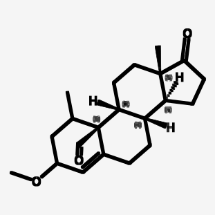 COC1C=C2CC[C@@H]3[C@@H](CC[C@]4(C)C(=O)CC[C@@H]34)[C@@]2(C=O)C(C)C1